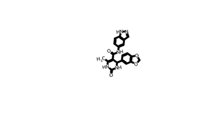 CC1=C(C(=O)Nc2ccc3[nH]ncc3c2)C(c2ccc3c(c2)OCO3)NC(=O)N1